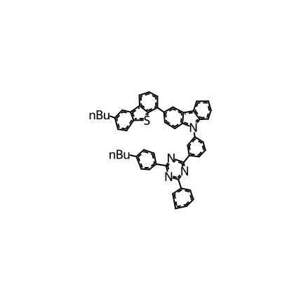 CCCCc1ccc(-c2nc(-c3ccccc3)nc(-c3cccc(-n4c5ccccc5c5cc(-c6cccc7c6sc6ccc(CCCC)cc67)ccc54)c3)n2)cc1